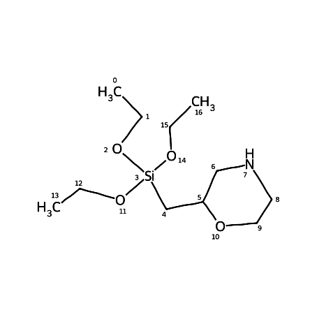 CCO[Si](CC1CNCCO1)(OCC)OCC